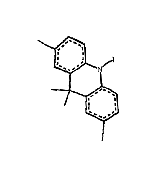 Cc1ccc2c(c1)C(C)(C)c1cc(C)ccc1N2I